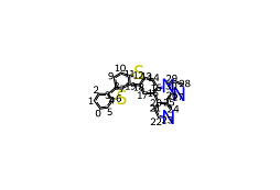 c1ccc2c(c1)sc1c2ccc2sc3cc4c(cc3c21)c1ccncc1c1nccn41